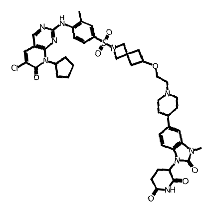 Cc1cc(S(=O)(=O)N2CC3(CC(OCCN4CCC(c5ccc6c(c5)n(C)c(=O)n6C5CCC(=O)NC5=O)CC4)C3)C2)ccc1Nc1ncc2cc(Cl)c(=O)n(C3CCCC3)c2n1